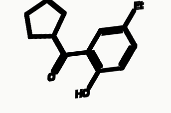 CCc1ccc(O)c(C(=O)C2CCCC2)c1